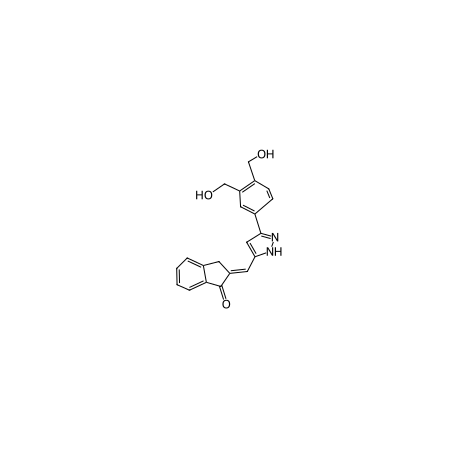 O=C1/C(=C/c2cc(-c3ccc(CO)c(CO)c3)n[nH]2)Cc2ccccc21